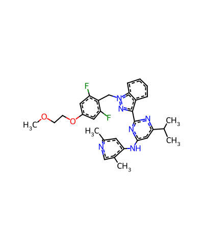 COCCOc1cc(F)c(Cn2nc(-c3nc(Nc4cc(C)ncc4C)cc(C(C)C)n3)c3ccccc32)c(F)c1